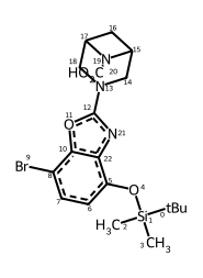 CC(C)(C)[Si](C)(C)Oc1ccc(Br)c2oc(N3CC4CC(C3)N4C(=O)O)nc12